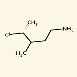 CC(CCN)[C@@H](C)Cl